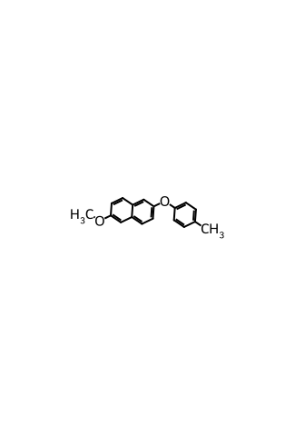 COc1ccc2cc(Oc3ccc(C)cc3)ccc2c1